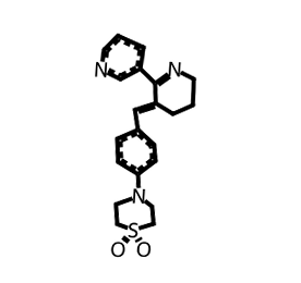 O=S1(=O)CCN(c2ccc(/C=C3\CCCN=C3c3cccnc3)cc2)CC1